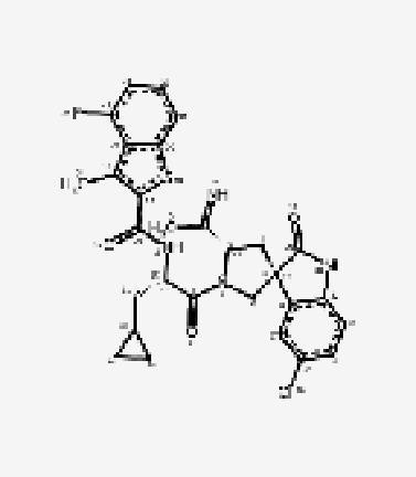 CC(=N)[C@@H]1C[C@@]2(CN1C(=O)[C@H](CC1CC1)NC(=O)c1sc3cccc(F)c3c1C)C(=O)Nc1ccc(Cl)cc12